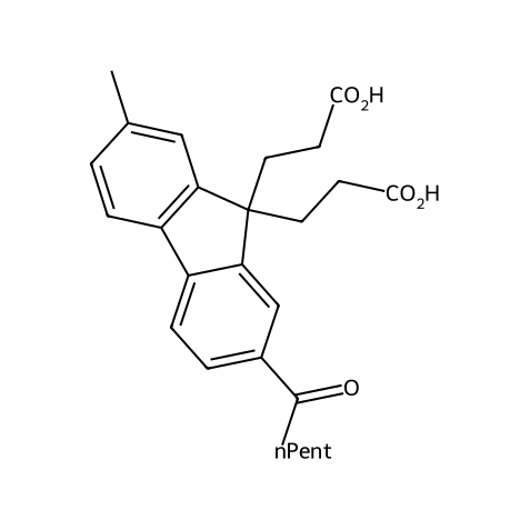 CCCCCC(=O)c1ccc2c(c1)C(CCC(=O)O)(CCC(=O)O)c1cc(C)ccc1-2